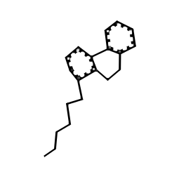 CCCCCCc1cccc2c1CCc1ccccc1-2